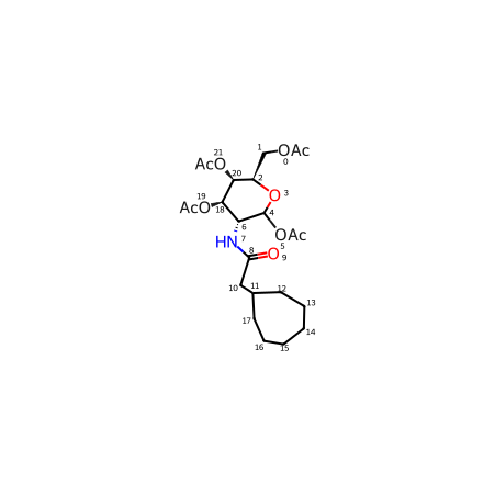 CC(=O)OC[C@H]1OC(OC(C)=O)[C@H](NC(=O)CC2CCCCCC2)[C@@H](OC(C)=O)[C@H]1OC(C)=O